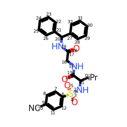 CC(C)C(NS(=O)(=O)c1ccc(C#N)cc1)C(=O)NCC(=O)NC(c1ccccc1)c1ccccc1